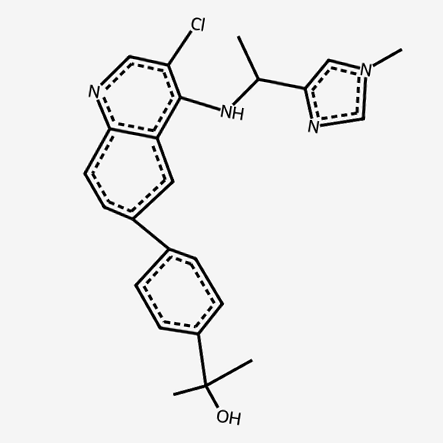 CC(Nc1c(Cl)cnc2ccc(-c3ccc(C(C)(C)O)cc3)cc12)c1cn(C)cn1